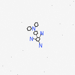 N#Cc1cc(C#N)c(-c2ccc(N(c3ccccc3)c3ccccc3)cc2)c(C#N)c1